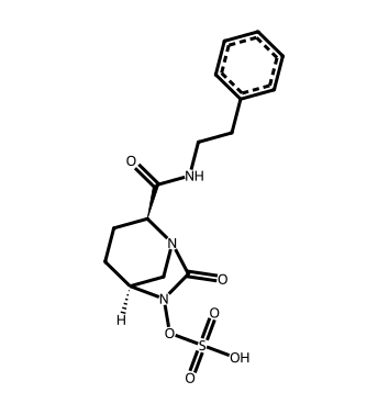 O=C(NCCc1ccccc1)[C@@H]1CC[C@H]2CN1C(=O)N2OS(=O)(=O)O